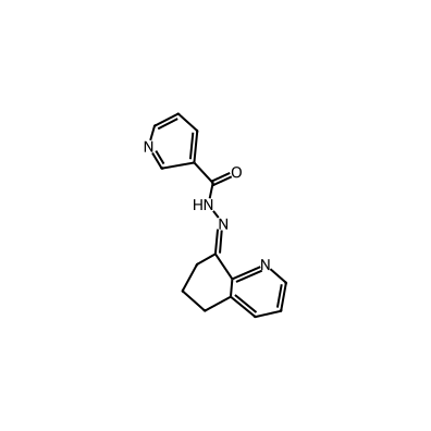 O=C(N/N=C1\CCCc2cccnc21)c1cccnc1